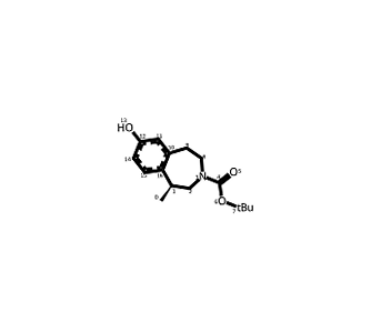 C[C@@H]1CN(C(=O)OC(C)(C)C)CCc2cc(O)ccc21